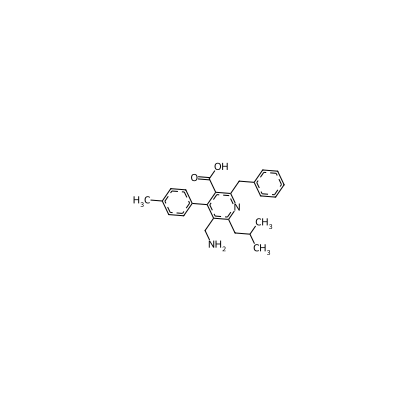 Cc1ccc(-c2c(CN)c(CC(C)C)nc(Cc3ccccc3)c2C(=O)O)cc1